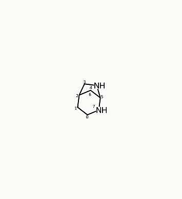 C1CC2CNC(C2)N1